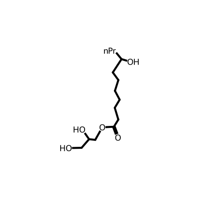 CCCC(O)CCCCCCC(=O)OCC(O)CO